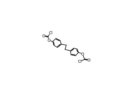 O=C(Cl)Oc1ccc(CCc2ccc(OC(=O)Cl)cc2)cc1